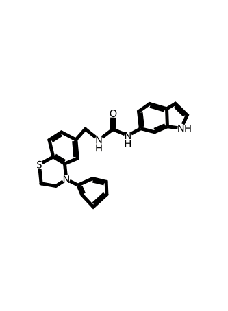 O=C(NCc1ccc2c(c1)N(c1ccccc1)CCS2)Nc1ccc2cc[nH]c2c1